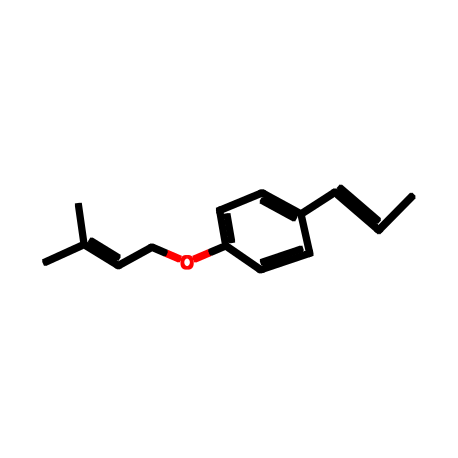 C/C=C/c1ccc(OCC=C(C)C)cc1